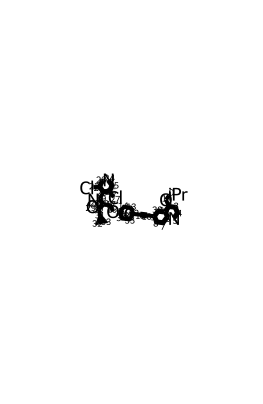 CC(C)Oc1ccnc2ccc(C#CC34CCC(OCc5c(-c6c(Cl)cncc6Cl)noc5C5CC5)(CC3)CC4)cc12